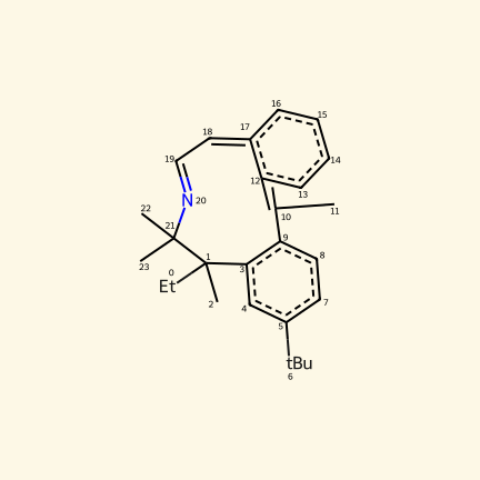 CCC1(C)c2cc(C(C)(C)C)ccc2\C(C)=c2/cccc/c2=C/C=N/C1(C)C